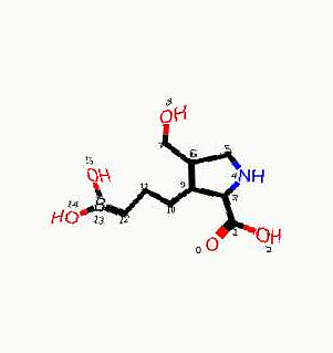 O=C(O)C1NCC(CO)C1CCCB(O)O